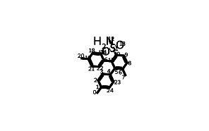 Cc1ccc(-c2c(C)ccc(S(N)(=O)=O)c2-c2ccc(C)cc2)cc1